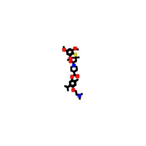 COc1cc(OC)c(SC(C)(C)CC(=O)N2CCC(C(=O)Oc3cc(C(C)C)c(OCCN(C)C)cc3C)CC2)c(OC)c1